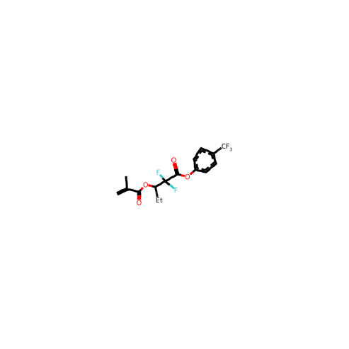 C=C(C)C(=O)OC(CC)C(F)(F)C(=O)Oc1ccc(C(F)(F)F)cc1